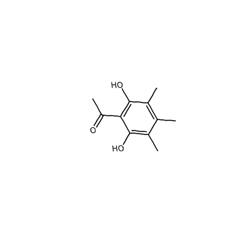 CC(=O)c1c(O)c(C)c(C)c(C)c1O